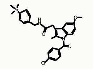 COc1ccc2c(c1)c(CC(=O)NCc1ccc([Si](C)(C)C)cc1)c(C)n2C(=O)c1ccc(Cl)cc1